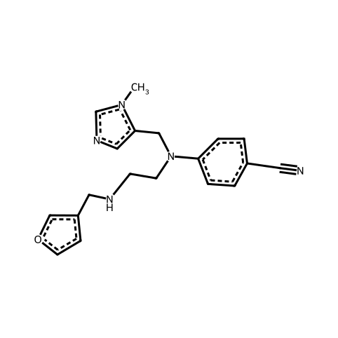 Cn1cncc1CN(CCNCc1ccoc1)c1ccc(C#N)cc1